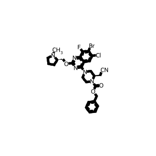 CN1CCC[C@H]1COc1nc(N2CCN(C(=O)OCc3ccccc3)[C@H](CC#N)C2)c2cc(Cl)c(Br)c(F)c2n1